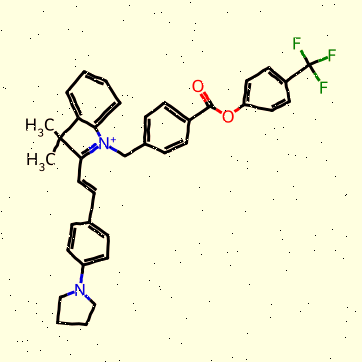 CC1(C)C(/C=C/c2ccc(N3CCCC3)cc2)=[N+](Cc2ccc(C(=O)Oc3ccc(C(F)(F)F)cc3)cc2)c2ccccc21